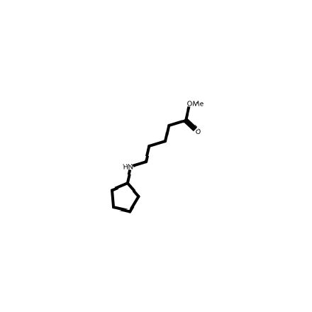 COC(=O)CCCCNC1CCCC1